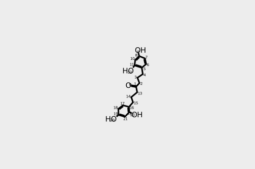 O=C(CCCc1ccc(O)cc1O)CCCc1ccc(O)cc1O